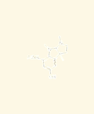 CC(=O)Nc1cc(O)cc2c1N(C)C1N(C)CC[C@@]21C